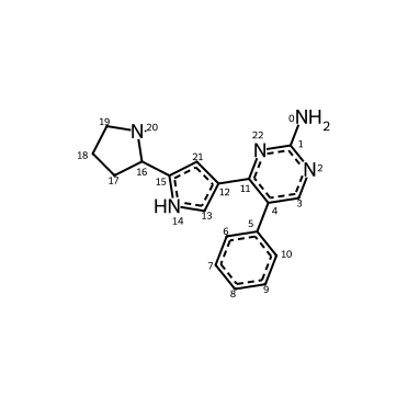 Nc1ncc(-c2ccccc2)c(-c2c[nH]c(C3CCC[N]3)c2)n1